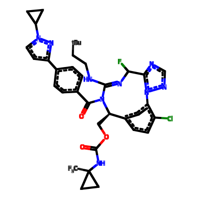 CC(C)(C)CCN/C1=N\C(F)c2ncnn2-c2cc(ccc2Cl)[C@@H](COC(=O)NC2(C(F)(F)F)CC2)N1C(=O)c1ccc(-c2ccn(C3CC3)n2)cc1